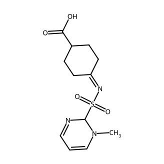 CN1C=CC=NC1S(=O)(=O)N=C1CCC(C(=O)O)CC1